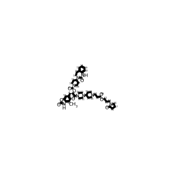 Cc1cc(C[C@@H](OC(=O)N2CCC(N3CCc4ccccc4NC3=O)CC2)C(=O)N2CCN(C3CCN(CCC(=O)OCCCN4CCCC4=O)CC3)CC2)cc2oc(=O)[nH]c12